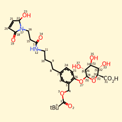 CC(C)(C)C(=O)OCc1cc(CCCCNC(=O)CCN2C(=O)C=CC2O)ccc1O[C@@H]1O[C@H](C(=O)O)[C@@H](O)[C@H](O)[C@H]1O